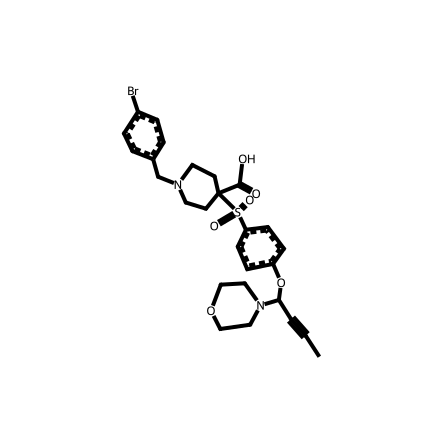 CC#CC(Oc1ccc(S(=O)(=O)C2(C(=O)O)CCN(Cc3ccc(Br)cc3)CC2)cc1)N1CCOCC1